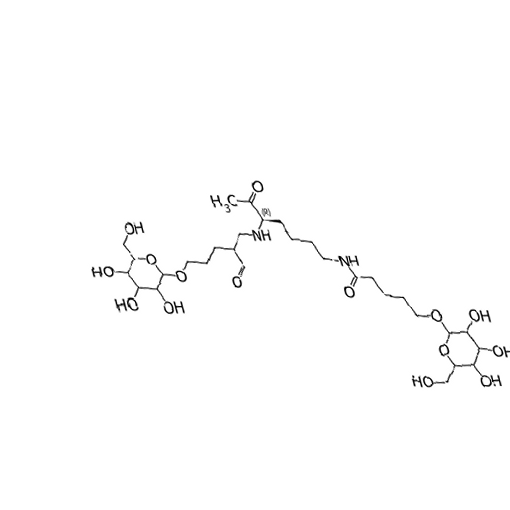 CC(=O)[C@@H](CCCCNC(=O)CCCCOC1OC(CO)C(O)C(O)C1O)NCC(C=O)CCCOC1OC(CO)C(O)C(O)C1O